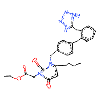 CCCc1cc(=O)n(CC(=O)OCC)c(=O)n1Cc1ccc(-c2ccccc2-c2nnn[nH]2)cc1